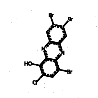 Oc1c(Cl)cc(Br)c2nc3cc(Br)c(Br)cc3nc12